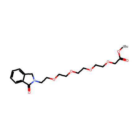 CC(C)(C)OC(=O)COCCOCCOCCOCCN1Cc2ccccc2C1=O